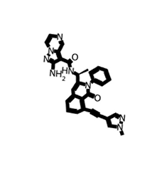 C[C@H](NC(=O)c1c(N)nn2ccncc12)c1cc2cccc(C#Cc3cnn(C)c3)c2c(=O)n1-c1ccccc1